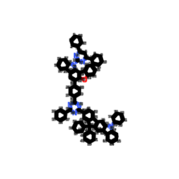 c1ccc(-c2cc(-c3ccccc3)nc(-n3c4ccccc4c4cc(-c5ccc(-c6nc(-c7ccccc7)nc(-c7ccc8c(c7)C(c7ccccc7)(c7ccccc7)c7cc9c%10ccccc%10n(-c%10ccccc%10)c9cc7-8)n6)cc5)c5oc6ccccc6c5c43)n2)cc1